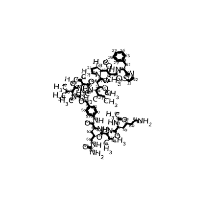 CC[C@H](C)[C@@H]([C@@H](CC(=O)N1CCC[C@H]1[C@H](OC)[C@@H](C)C(=O)N[C@@H](Cc1ccccc1)c1nccs1)OC)N(C)C(=O)[C@@H](NC(=O)[C@H](C(C)C)N(C)C(=O)OCc1ccc(NC(=O)[C@H](CCCNC(N)=O)NC(=O)[C@@H](NC(=O)[C@H](CCCCN)NC(C)=O)C(C)C)cc1)C(C)C